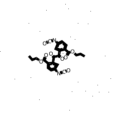 CCCOC(=O)c1ccc(N=C=O)cc1C(=O)C(=O)c1cc(N=C=O)ccc1C(=O)OCCC